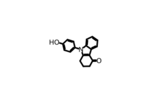 O=C1CCCc2c1c1ccccc1n2-c1ccc(O)cc1